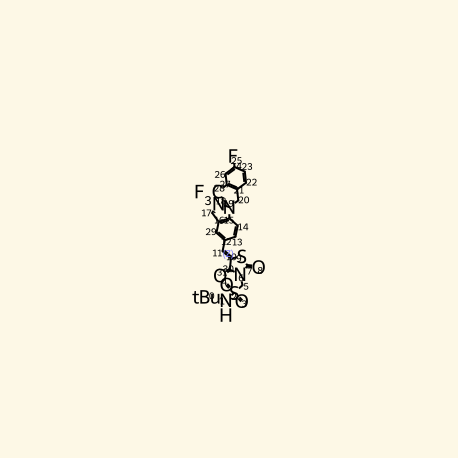 CC(C)(C)NS(=O)(=O)CN1C(=O)S/C(=C\c2ccc3c(cnn3Cc3ccc(F)cc3C(F)(F)F)c2)C1=O